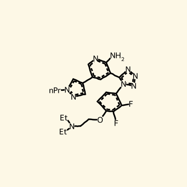 CCCn1cc(-c2cnc(N)c(-c3nnnn3-c3ccc(OCCN(CC)CC)c(F)c3F)c2)cn1